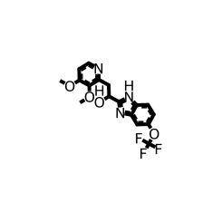 COc1ccnc(CC(O)c2nc3cc(OC(F)(F)F)ccc3[nH]2)c1OC